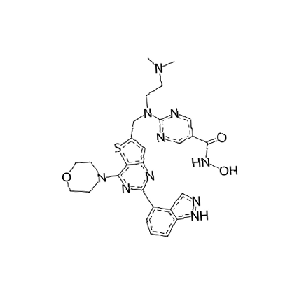 CN(C)CCN(Cc1cc2nc(-c3cccc4[nH]ncc34)nc(N3CCOCC3)c2s1)c1ncc(C(=O)NO)cn1